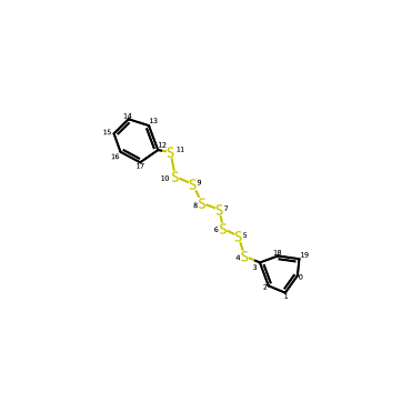 c1ccc(SSSSSSSSc2ccccc2)cc1